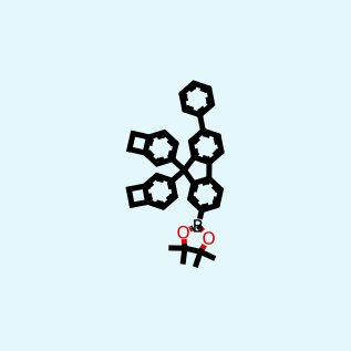 CC1(C)OB(c2ccc3c(c2)C(c2ccc4c(c2)CC4)(c2ccc4c(c2)CC4)c2cc(-c4ccccc4)ccc2-3)OC1(C)C